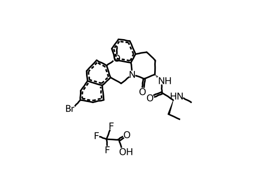 CC[C@H](NC)C(=O)N[C@H]1CCc2ccccc2N(Cc2c(OC)ccc3cc(Br)ccc23)C1=O.O=C(O)C(F)(F)F